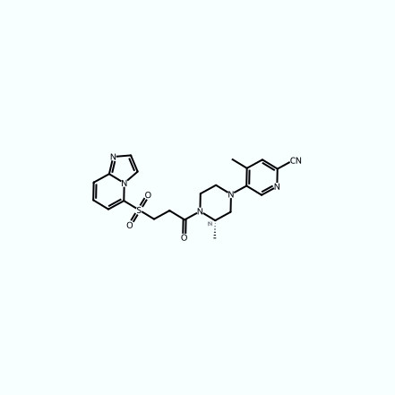 Cc1cc(C#N)ncc1N1CCN(C(=O)CCS(=O)(=O)c2cccc3nccn23)[C@@H](C)C1